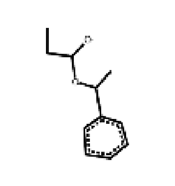 CCC([O])OC(C)c1ccccc1